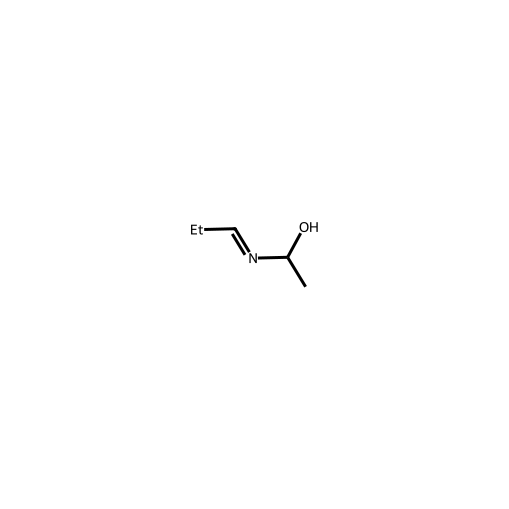 CCC=NC(C)O